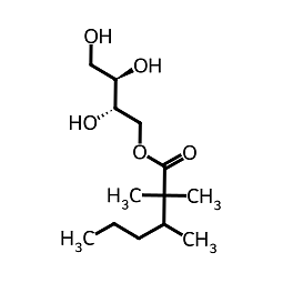 CCCC(C)C(C)(C)C(=O)OC[C@H](O)[C@H](O)CO